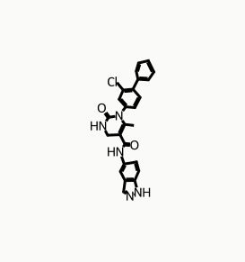 CC1=C(C(=O)Nc2ccc3[nH]ncc3c2)CNC(=O)N1c1ccc(-c2ccccc2)c(Cl)c1